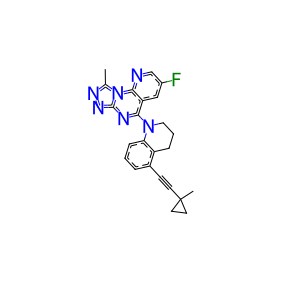 Cc1nnc2nc(N3CCCc4c(C#CC5(C)CC5)cccc43)c3cc(F)cnc3n12